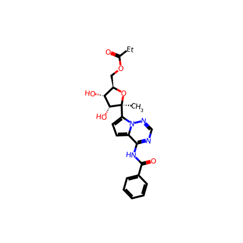 CCC(=O)OC[C@H]1O[C@@](C)(c2ccc3c(NC(=O)c4ccccc4)ncnn23)[C@H](O)[C@@H]1O